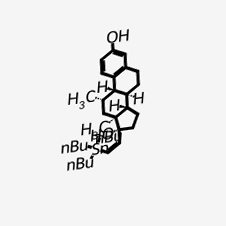 CCC[CH2][Sn](/[CH]=C\[C@]1(O)CC[C@H]2[C@@H]3CCc4cc(O)ccc4[C@H]3[C@@H](C)C[C@@]21C)([CH2]CCC)[CH2]CCC